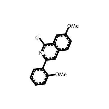 COc1ccc2cc(-c3ccccc3OC)nc(Cl)c2c1